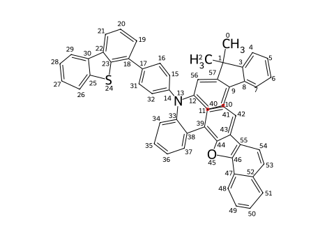 CC1(C)c2ccccc2-c2ccc(N(c3ccc(-c4cccc5c4sc4ccccc45)cc3)c3ccccc3-c3cccc4c3oc3c5ccccc5ccc43)cc21